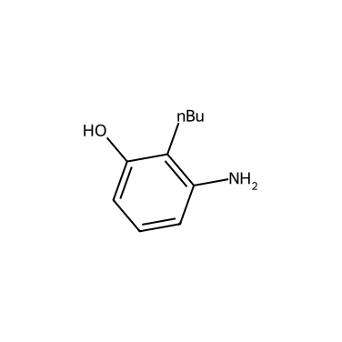 CCCCc1c(N)cccc1O